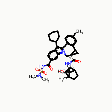 Cc1ccc2c(c1)C1C[C@@]1(C(=O)N[C@@H]1C3CCC(C)([C@@H]1O)C3(C)C)Cn1c-2c(C2CCCCC2)c2ccc(C(=O)NS(=O)(=O)N(C)C)cc21